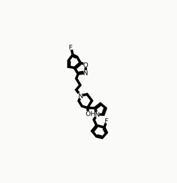 OC1(c2cccn2Cc2ccccc2F)CCN(CCCc2noc3cc(F)ccc23)CC1